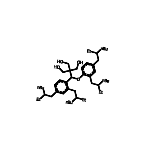 CCCCC(CC)Cc1ccc(OC(c2ccc(CC(CC)CCCC)cc2CC(CC)CCCC)C(CO)(CO)CO)c(CC(CC)CCCC)c1